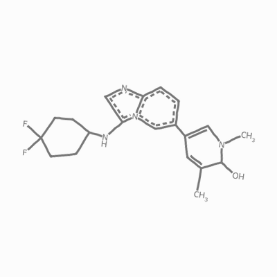 CC1=CC(c2ccc3ncc(NC4CCC(F)(F)CC4)n3c2)=CN(C)C1O